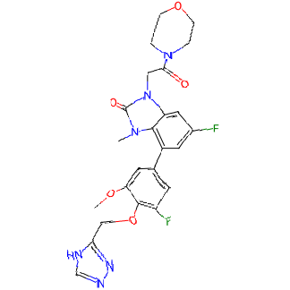 COc1cc(-c2cc(F)cc3c2n(C)c(=O)n3CC(=O)N2CCOCC2)cc(F)c1OCc1nnc[nH]1